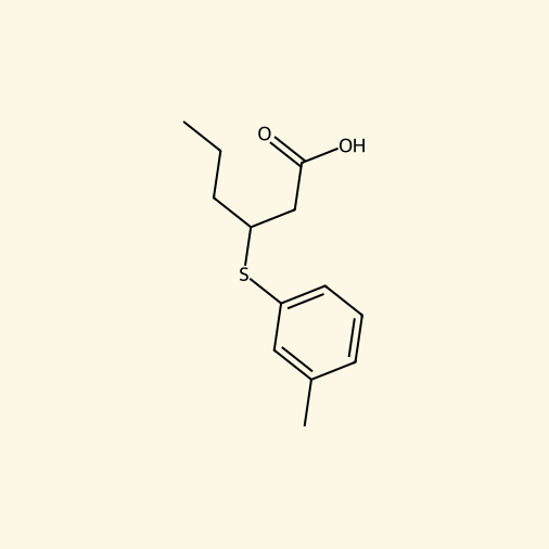 CCCC(CC(=O)O)Sc1cccc(C)c1